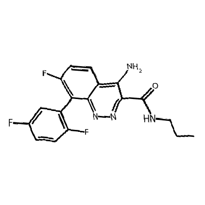 CCCNC(=O)c1nnc2c(-c3cc(F)ccc3F)c(F)ccc2c1N